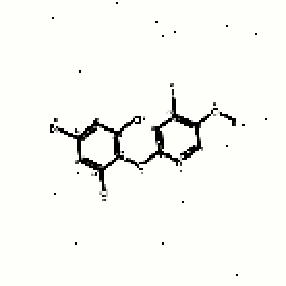 COc1cnc(Oc2c(Cl)cc(Br)cc2Cl)cc1I